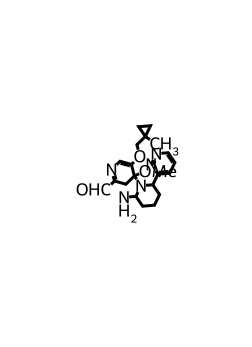 COC1(N2C(N)CCCC2c2cccnn2)CC(C=O)=NC=C1OCC1(C)CC1